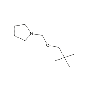 CC(C)(C)COCN1CCCC1